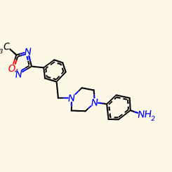 Nc1ccc(N2CCN(Cc3cccc(-c4noc(C(F)(F)F)n4)c3)CC2)cc1